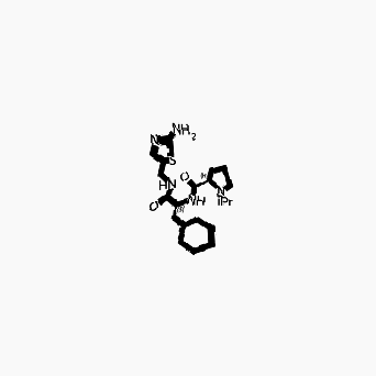 CC(C)N1CCC[C@@H]1C(=O)N[C@@H](CC1CCCCC1)C(=O)NCc1cnc(N)s1